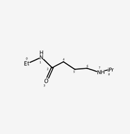 CCNC(=O)CCCNC(C)C